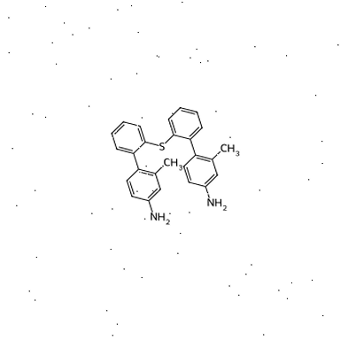 Cc1cc(N)ccc1-c1ccccc1Sc1ccccc1-c1ccc(N)cc1C